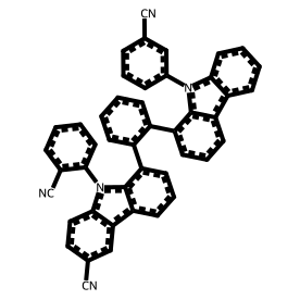 N#Cc1cccc(-n2c3ccccc3c3cccc(-c4ccccc4-c4cccc5c6cc(C#N)ccc6n(-c6ccccc6C#N)c45)c32)c1